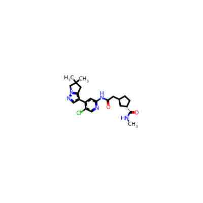 CNC(=O)[C@H]1CCC(CC(=O)Nc2cc(-c3cnn4c3CC(C)(C)C4)c(Cl)cn2)C1